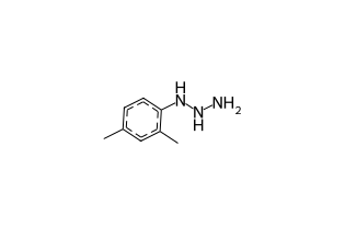 Cc1ccc(NNN)c(C)c1